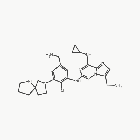 NCc1cc(Nc2nc(NC3CC3)c3ncc(CN)n3n2)c(Cl)c(N2CCC3(CCCN3)C2)c1